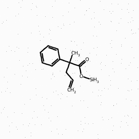 C=CCC(C)(C(=O)O[SiH3])c1ccccc1